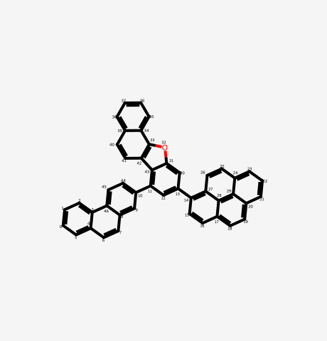 c1ccc2c(c1)ccc1cc(-c3cc(-c4ccc5ccc6cccc7ccc4c5c67)cc4oc5c6ccccc6ccc5c34)ccc12